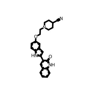 N#CC1CCN(CCOc2ccc3[nH]c(-c4cc5ccccc5[nH]c4=O)cc3c2)CC1